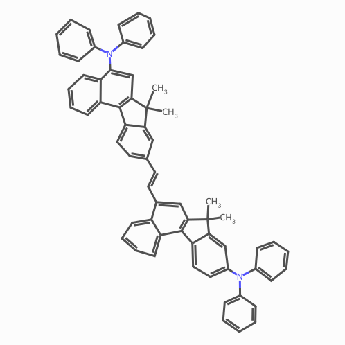 CC1(C)c2cc(N(c3ccccc3)c3ccccc3)ccc2-c2c1cc(/C=C/c1ccc3c(c1)C(C)(C)c1cc(N(c4ccccc4)c4ccccc4)c4ccccc4c1-3)c1ccccc21